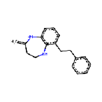 C=C1CCNc2c(CCc3ccccc3)cccc2N1